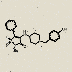 CC(C)(C)N1C(=O)C(NC2CCN(Cc3ccc(C#N)cc3)CC2)=C(c2ccccc2)S1(=O)=O